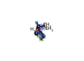 CSC[C@H](C)NC(=O)c1cc(C#N)cc(C)c1NC(=O)c1cc(Cn2ncc(C(F)(F)F)n2)nn1-c1ncccc1Cl